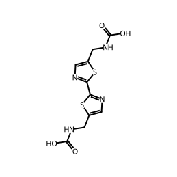 O=C(O)NCc1cnc(-c2ncc(CNC(=O)O)s2)s1